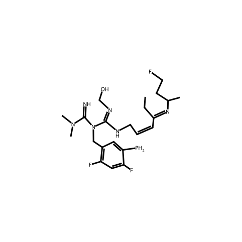 CCC(/C=C\CN/C(=N/CO)N(Cc1cc(P)c(F)cc1F)C(=N)N(C)C)=N\C(C)CCF